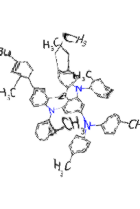 Cc1ccc(N(c2ccc(C)cc2)c2cc3c4c(c2)N(c2ccccc2C)c2cc5c(cc2B4c2cc(C4C=CC(C(C)(C)C)=CC4C)ccc2N3c2ccccc2C)CC(C)(C)C5)cc1